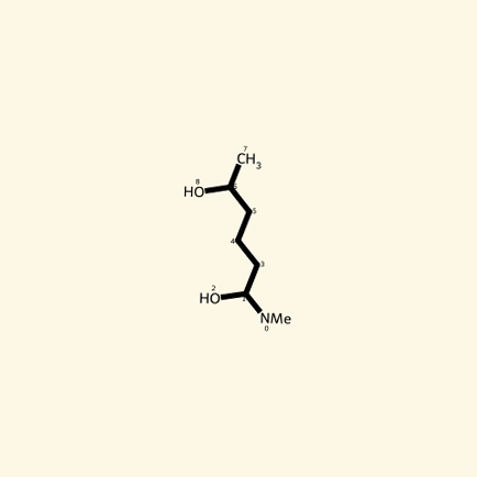 CNC(O)CCCC(C)O